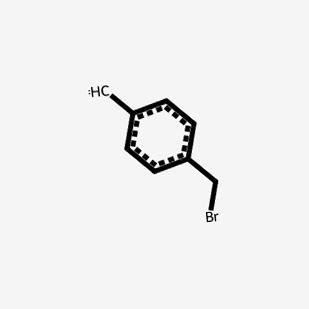 [CH]c1ccc(CBr)cc1